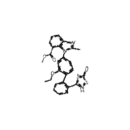 CCOc1cc(-n2c(C)nc3cccc(C(=O)OC)c32)ccc1-c1ccccc1-c1nc(=O)s[nH]1